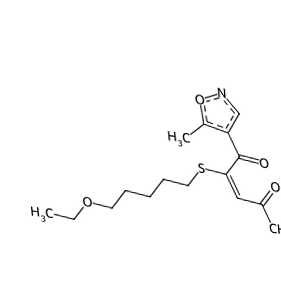 CCOCCCCCS/C(=C/C(C)=O)C(=O)c1cnoc1C